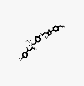 CCC(=CC(=O)c1ccc(C(F)(F)F)cc1)N[C@@H](Cc1ccc(OCCc2nc(-c3ccc(OC(C)C)cc3)oc2C)cc1)C(=O)O